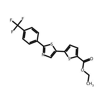 CCOC(=O)c1ccc(-c2cnc(-c3ccc(C(F)(F)F)cc3)s2)s1